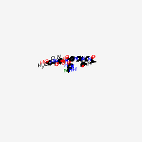 CC(C)c1ccccc1[C@@H]1CN(C(=O)C2CC2)CC[C@@H]1N1CC2(CCN(c3ccc(C(=O)NS(=O)(=O)c4cc5c(c([N+](=O)[O-])c4)N[C@@H]([C@H]4CC[C@](C)(O)CC4)CO5)c(Oc4cnc5[nH]cc(F)c5c4)c3)CC2)C1